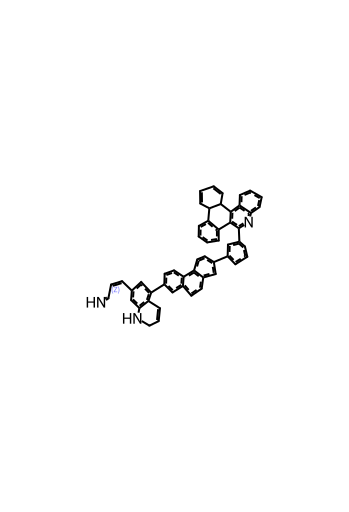 N=C/C=C\c1cc2c(c(-c3ccc4c(ccc5cc(-c6cccc(-c7nc8ccccc8c8c7-c7ccccc7C7C=CC=CC87)c6)ccc54)c3)c1)C=CCN2